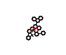 CC1(C)c2ccccc2-c2cccc(N(c3ccc(-c4cc5ccccc5c5ccccc45)cc3)c3cccc(-c4ccccc4)c3-c3ccccc3-c3ccccc3)c21